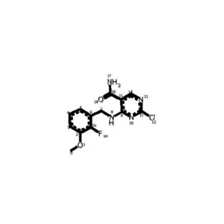 COc1cccc(CNc2nc(Cl)ncc2C(N)=O)c1F